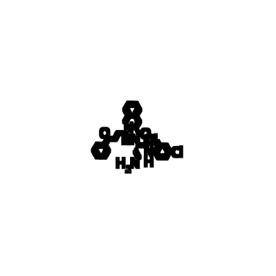 NCC[C@H](NC(=O)[C@@H]1Cc2ccccc2CN1C(=O)CCC(=O)c1ccccc1)C(=O)Nc1ccc(Cl)cc1Cl